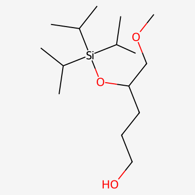 COCC(CCCO)O[Si](C(C)C)(C(C)C)C(C)C